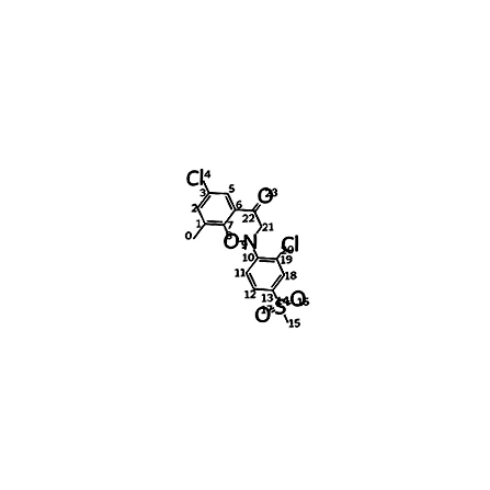 Cc1cc(Cl)cc2c1ON(c1ccc(S(C)(=O)=O)cc1Cl)CC2=O